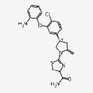 C=C1C[C@H](c2ccc(Cl)c(Oc3ccccc3N)c2)CN1C1=NC(C(N)=O)CS1